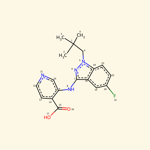 CC(C)(C)Cn1nc(Nc2cnccc2C(=O)O)c2cc(F)ccc21